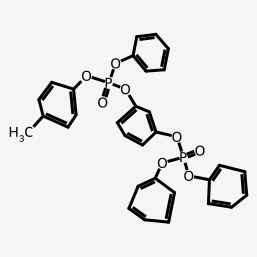 Cc1ccc(OP(=O)(Oc2ccccc2)Oc2cccc(OP(=O)(Oc3ccccc3)Oc3ccccc3)c2)cc1